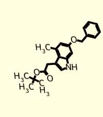 Cc1cc(OCc2ccccc2)cc2[nH]cc(CC(=O)OC(C)(C)C)c12